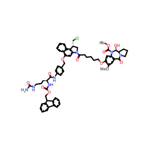 COc1cc2c(cc1OCCCCCC(=O)N1C[C@@H](CCl)c3c1cc(OCc1ccc(NC(=O)[C@H](CCCNC(N)=O)NC(=O)OCC4c5ccccc5-c5ccccc54)cc1)c1ccccc31)N(C(=O)OC(C)(C)C)[C@@H](O)C1CCCN1C2=O